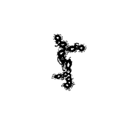 C(=C(\Cc1ccc2c(c1)oc1oc3ccc(N(c4ccc5c(c4)sc4ccccc45)c4ccc5c(c4)sc4ccccc45)cc3c12)c1ccc2c(c1)sc1ccccc12)/c1ccc2c(c1)sc1ccccc12